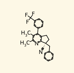 Cc1nc2c(c(-c3cccc(C(F)(F)F)c3)c1C)CC[C@@]2(C#N)Cc1ccccc1